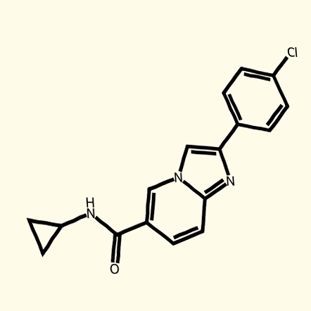 O=C(NC1CC1)c1ccc2nc(-c3ccc(Cl)cc3)cn2c1